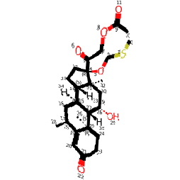 CSCO[C@]1(C(=O)COC(C)=O)CC[C@H]2[C@@H]3C[C@H](C)C4=CC(=O)CC[C@]4(C)[C@H]3[C@@H](O)C[C@@]21C